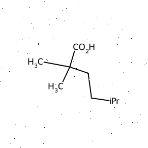 CC(C)CCC(C)(C)C(=O)O